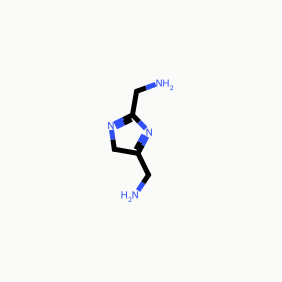 NCC1=NC(CN)=NC1